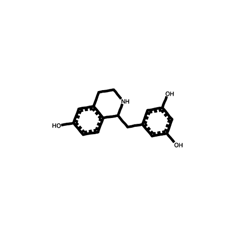 Oc1cc(O)cc(CC2NCCc3cc(O)ccc32)c1